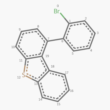 Brc1ccccc1-c1cccc2sc3ccccc3c12